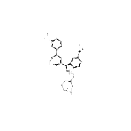 COc1cccc(-c2cncc(-c3cn(CC4CCCN(C)C4)c4ccc(C#N)cc34)c2)c1